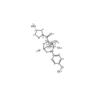 CCOc1ccc(N2C[C@H]3CN(C(=O)N4CC[C@H](O)C4)C[C@@H]2C(C)(C)C3)cc1